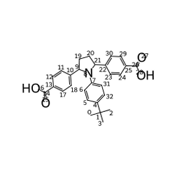 CC(C)(C)c1ccc(N2C(c3ccc(C(=O)O)cc3)CCC2c2ccc(C(=O)O)cc2)cc1